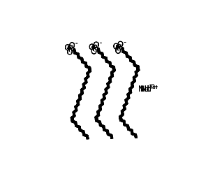 CCCCCCCC/C=C\CCCCCCCCCCCCCCCC/C=C\CCCCCCCCP(=O)([O-])[O-].CCCCCCCC/C=C\CCCCCCCCCCCCCCCC/C=C\CCCCCCCCP(=O)([O-])[O-].CCCCCCCC/C=C\CCCCCCCCCCCCCCCC/C=C\CCCCCCCCP(=O)([O-])[O-].[Nd+3].[Nd+3]